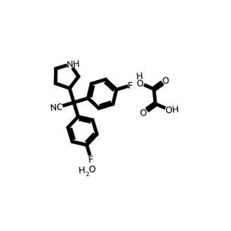 N#CC(c1ccc(F)cc1)(c1ccc(F)cc1)C1CCNC1.O.O=C(O)C(=O)O